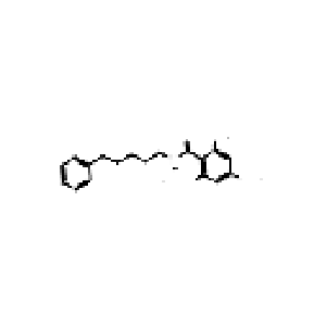 COc1cc(OC)c(C(=O)[PH](=O)CCCCCc2ccccc2)c(OC)c1